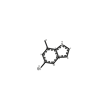 CCc1cc(C)c2sccc2c1